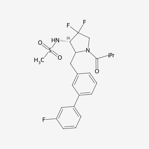 CC(C)C(=O)N1CC(F)(F)[C@@H](NS(C)(=O)=O)C1Cc1cccc(-c2cccc(F)c2)c1